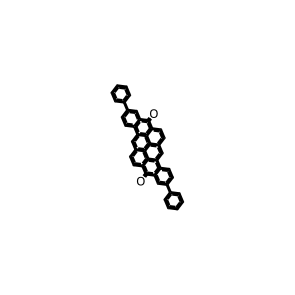 O=c1c2cc(-c3ccccc3)ccc2c2cc3ccc4c(=O)c5cc(-c6ccccc6)ccc5c5cc6ccc1c2c6c3c45